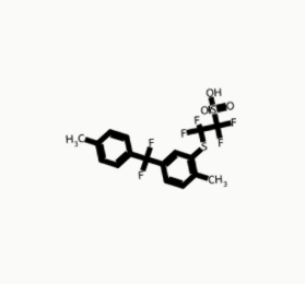 Cc1ccc(C(F)(F)c2ccc(C)c(SC(F)(F)C(F)(F)S(=O)(=O)O)c2)cc1